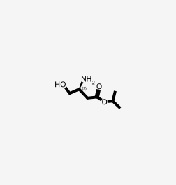 CC(C)OC(=O)C[C@H](N)CO